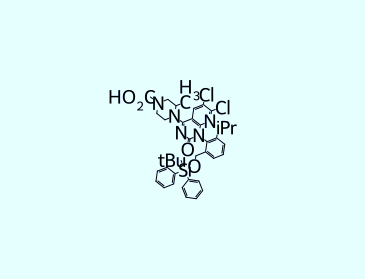 CC(C)c1cccc(CO[Si](c2ccccc2)(c2ccccc2)C(C)(C)C)c1-n1c(=O)nc(N2CCN(C(=O)O)CC2C)c2cc(Cl)c(Cl)nc21